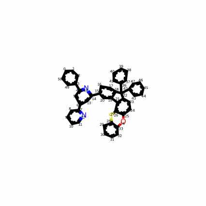 c1ccc(-c2cc(-c3ccccn3)cc(-c3ccc4c(c3)-c3c(ccc5c3Sc3ccccc3O5)C4(c3ccccc3)c3ccccc3)n2)cc1